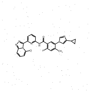 Cc1cc(F)c(C(=O)Nc2cccc(-c3nnc4cccc(Cl)n34)n2)cc1-n1cnc(C2CC2)c1